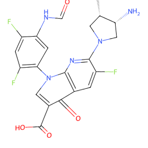 C[C@H]1CN(c2nc3c(cc2F)c(=O)c(C(=O)O)cn3-c2cc(NC=O)c(F)cc2F)C[C@H]1N